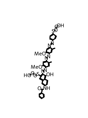 COc1cc(N=Nc2ccc(SOOO)cc2)c(C)cc1N=Nc1cc(OC)c(N=Nc2c(SOOO)cc3cc(NC(=O)c4ccccc4)ccc3c2O)cc1C